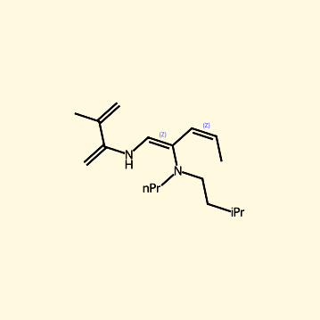 C=C(C)C(=C)N/C=C(/C=C\C)N(CCC)CCC(C)C